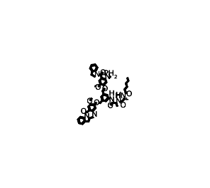 CCCCCC(=O)N[C@@H](C)C(=O)NC(C)C(=O)Nc1cc(COc2cc3c(cc2OC)C(=O)N2c4ccccc4CC2C=N3)cc(COc2cc(N(C)P)c(C(=O)N3CCc4ccccc43)cc2OC)c1